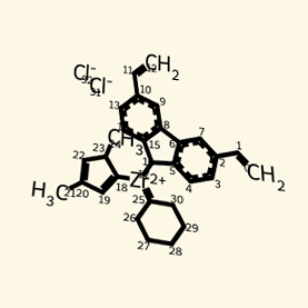 C=Cc1ccc2c(c1)-c1cc(C=C)ccc1[CH]2[Zr+2]([C]1=CC(C)=CC1C)=[C]1CCCCC1.[Cl-].[Cl-]